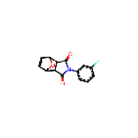 O=C1C2C3C=CC(O3)C2C(=O)N1c1cccc(F)c1